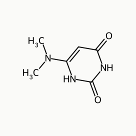 CN(C)c1cc(=O)[nH]c(=O)[nH]1